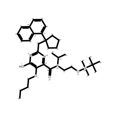 CCCCOc1c(O)nc(CC2(c3cccc4ccccc34)CCCC2)nc1C(=O)N(CCO[Si](C)(C)C(C)(C)C)C(C)C